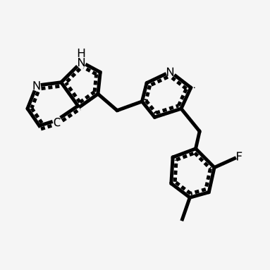 Cc1ccc(Cc2[c]ncc(Cc3c[nH]c4ncccc34)c2)c(F)c1